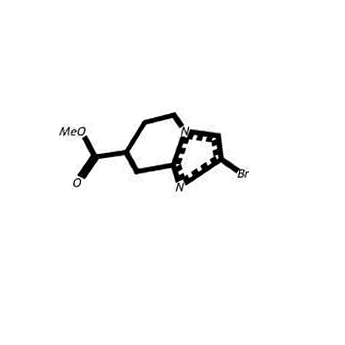 COC(=O)C1CCn2cc(Br)nc2C1